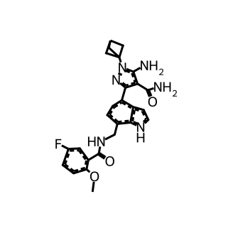 COc1ccc(F)cc1C(=O)NCc1ccc(-c2nn(C34CC(C3)C4)c(N)c2C(N)=O)c2cc[nH]c12